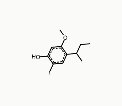 CCC(C)c1cc(I)c(O)cc1OC